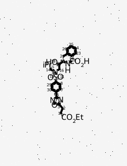 CCOC(=O)CCc1nc(-c2ccc(S(=O)(=O)N(CC(C)C)C[C@@H](O)[C@H](Cc3ccccc3)NC(=O)O)cc2)no1